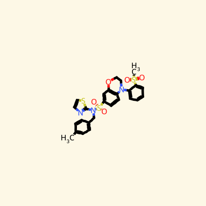 Cc1ccc(CN(c2nccs2)S(=O)(=O)c2ccc3c(c2)OCCN3c2ccccc2S(C)(=O)=O)cc1